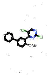 COc1ccc(-c2ccccc2)cc1-c1nc(Cl)ncc1Cl